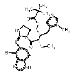 CC[C@H](C(=O)N1CCN/C1=N/c1ccc2[nH]cnc2c1Br)[C@H](COC(=O)C(C)(C)C)Cc1cncn1C